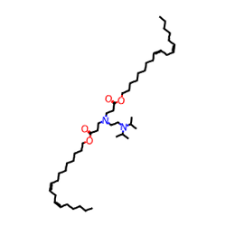 CCCCC/C=C\C/C=C\CCCCCCCCOC(=O)CCN(CCC(=O)OCCCCCCCC/C=C\C/C=C\CCCCC)CCN(C(C)C)C(C)C